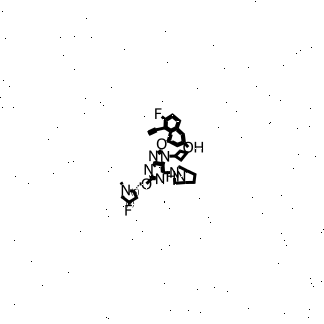 C#Cc1c(F)ccc2cc(O)cc(Oc3nc4nc(OC[C@@H]5C[C@@H](F)CN5C)nc(N5CC6CCC(C5)N6)c4n3C3CCC3)c12